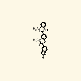 COC(=O)N(Cc1ccc(C(=O)Nc2ccccc2[AsH2])cc1)c1ccc2n[nH]cc2c1